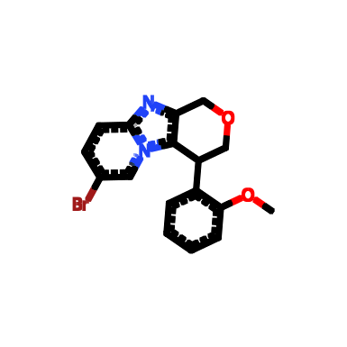 COc1ccccc1C1COCc2nc3ccc(Br)cn3c21